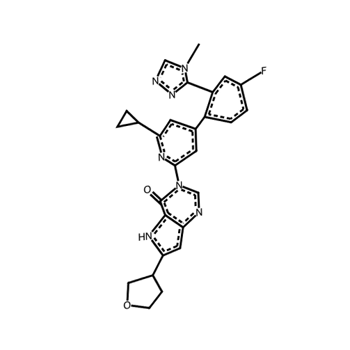 Cn1cnnc1-c1cc(F)ccc1-c1cc(C2CC2)nc(-n2cnc3cc(C4CCOC4)[nH]c3c2=O)c1